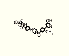 Cc1cc(C(=O)N2CCN(c3ccc(C(=O)NS(=O)(=O)C(C)(C)C)cc3)CC2)ccc1-c1cncc(O)c1